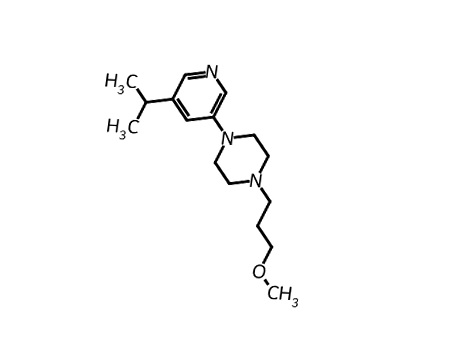 COCCCN1CCN(c2cncc(C(C)C)c2)CC1